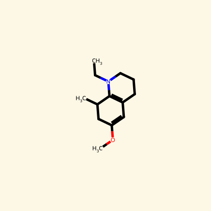 CCN1CCCC2=C1C(C)CC(OC)=C2